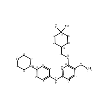 COc1cnc(Nc2ccc(N3CCOCC3)cc2)nc1OCC1CCC(F)(F)CC1